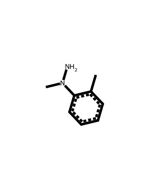 Cc1ccccc1N(C)N